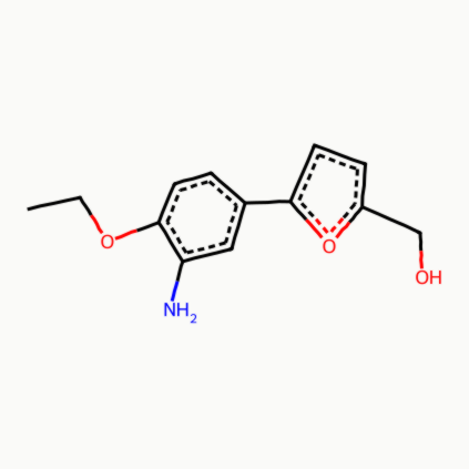 CCOc1ccc(-c2ccc(CO)o2)cc1N